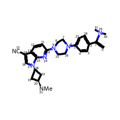 C=C(c1ccc(N2CCN(c3ccc4c(C#N)cn([C@H]5C[C@H](NC)C5)c4n3)CC2)cc1)N(C)C